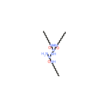 CCCCCCCCCCCCNC(=O)CCN(CCN)CCNCCN(CCC(=O)NCCCCCCCCCCCC)CCC(=O)NCCCCCCCCCCCC